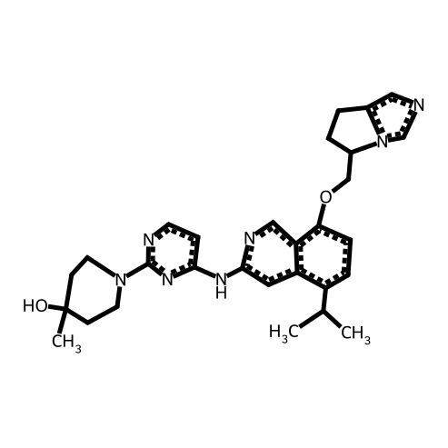 CC(C)c1ccc(OCC2CCc3cncn32)c2cnc(Nc3ccnc(N4CCC(C)(O)CC4)n3)cc12